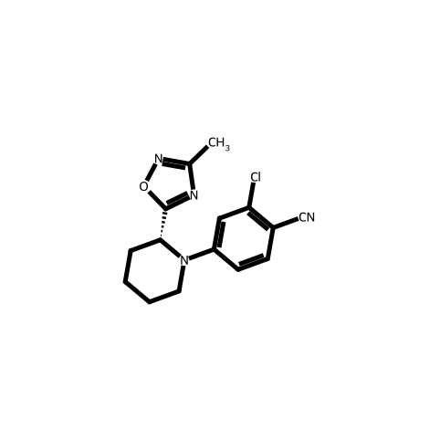 Cc1noc([C@H]2CCCCN2c2ccc(C#N)c(Cl)c2)n1